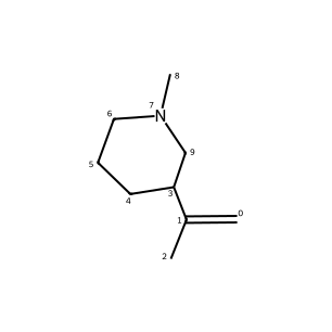 C=C(C)C1CCCN(C)C1